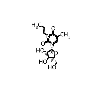 CCCn1c(=O)c(C)cn([C@@H]2O[C@H](CO)C(O)[C@@H]2O)c1=O